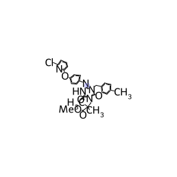 COC(=O)C(C)(C)Cn1c(=O)[nH]/c(=N\c2ccc(Oc3cccc(Cl)n3)cc2)n(Cc2ccc(C)cc2)c1=O